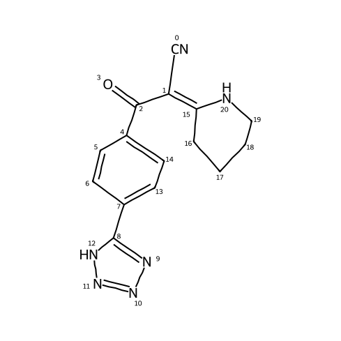 N#CC(C(=O)c1ccc(-c2nnn[nH]2)cc1)=C1CCCCN1